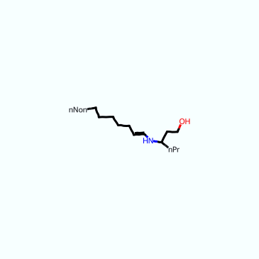 CCCCCCCCCCCCCCC=CNC(CCC)CCO